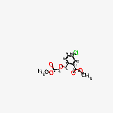 COC(=O)COCc1ccc(Cl)cc1C(=O)OC